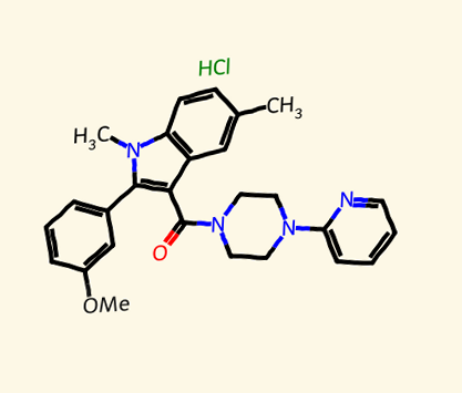 COc1cccc(-c2c(C(=O)N3CCN(c4ccccn4)CC3)c3cc(C)ccc3n2C)c1.Cl